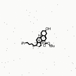 CC(C)CCC[C@@H](C)[C@H]1CC[C@H]2[C@@H]3[C@@H](C(=O)OC(C)(C)C)C=C4CC(O)CC[C@]4(C)[C@H]3CC[C@]12C